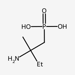 CCC(C)(N)CP(=O)(O)O